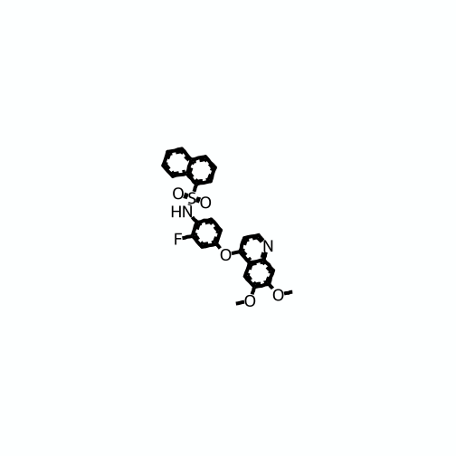 COc1cc2nccc(Oc3ccc(NS(=O)(=O)c4cccc5ccccc45)c(F)c3)c2cc1OC